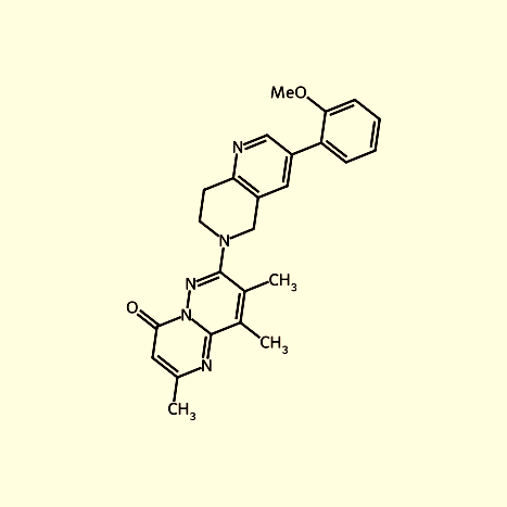 COc1ccccc1-c1cnc2c(c1)CN(c1nn3c(=O)cc(C)nc3c(C)c1C)CC2